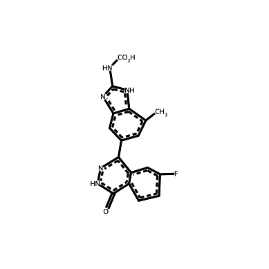 Cc1cc(-c2n[nH]c(=O)c3ccc(F)cc23)cc2nc(NC(=O)O)[nH]c12